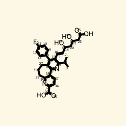 CC(C)c1nc2c(c(-c3ccc(F)cc3)c1/C=C/[C@@H](O)C[C@@H](O)CC(=O)O)CCCc1nc(C(=O)O)ccc1-2